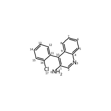 Nc1cnc2ccccc2c1-c1ccccc1Cl